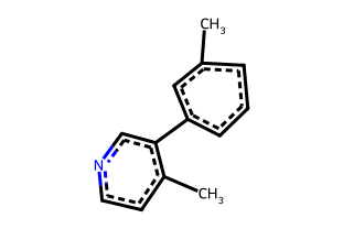 Cc1cccc(-c2cnccc2C)c1